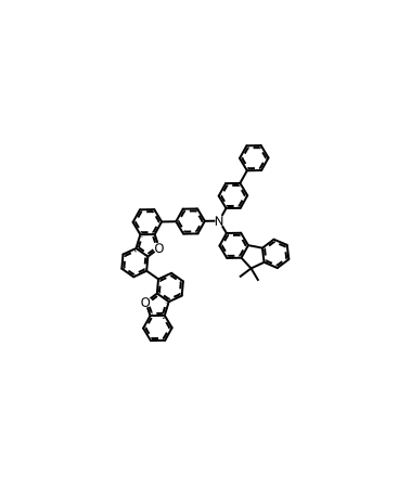 CC1(C)c2ccccc2-c2cc(N(c3ccc(-c4ccccc4)cc3)c3ccc(-c4cccc5c4oc4c(-c6cccc7c6oc6ccccc67)cccc45)cc3)ccc21